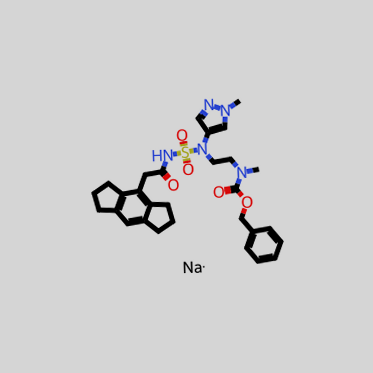 CN(CCN(c1cnn(C)c1)S(=O)(=O)NC(=O)Cc1c2c(cc3c1CCC3)CCC2)C(=O)OCc1ccccc1.[Na]